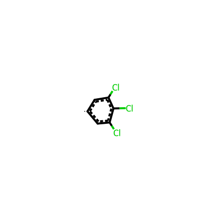 Clc1c[c]cc(Cl)c1Cl